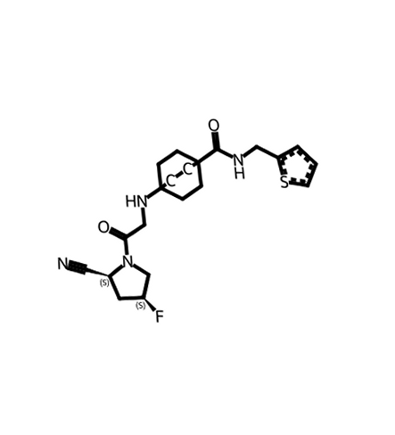 N#C[C@@H]1C[C@H](F)CN1C(=O)CNC12CCC(C(=O)NCc3cccs3)(CC1)CC2